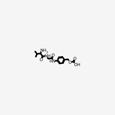 CC(C)C(N)C(=O)NCC(=O)Nc1ccc(COC(=O)O)cc1